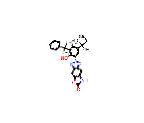 CC(C)(C)CC(C)(C)c1cc(-n2nc3cc4[nH]c(=O)oc4cc3n2)c(O)c(C(C)(C)c2ccccc2)c1